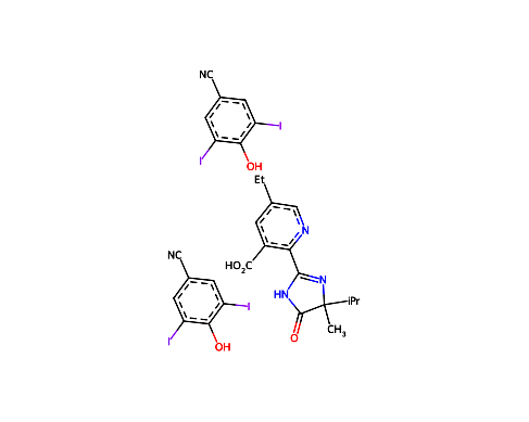 CCc1cnc(C2=NC(C)(C(C)C)C(=O)N2)c(C(=O)O)c1.N#Cc1cc(I)c(O)c(I)c1.N#Cc1cc(I)c(O)c(I)c1